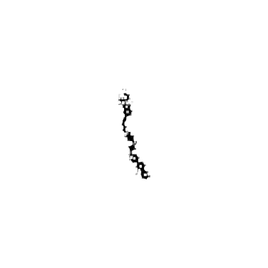 Cn1c2ccncc2c2ccc(-c3ccc(O[C@H]4C[C@H](N(C)C5CC6(C5)CN(CCCC#Cc5ccc7c(c5)C(=O)N(C5CCC(=O)NC5=O)C7=O)C6)C4)nc3)cc21